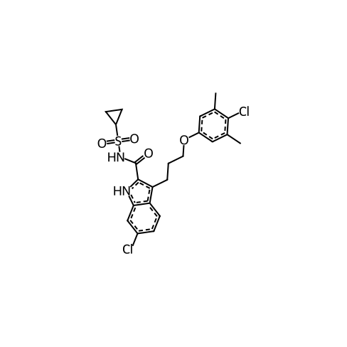 Cc1cc(OCCCc2c(C(=O)NS(=O)(=O)C3CC3)[nH]c3cc(Cl)ccc23)cc(C)c1Cl